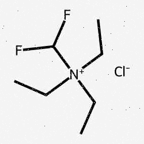 CC[N+](CC)(CC)C(F)F.[Cl-]